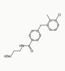 CCCCCCCCCCCCNC(=O)c1ccc([CH]c2cccc(Cl)c2C)cc1